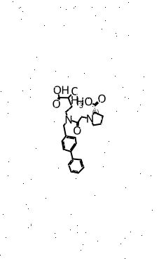 CC(CCN(Cc1ccc(-c2ccccc2)cc1)C(=O)CN1CCC[C@H]1C(=O)O)C(=O)O